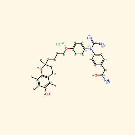 Cc1c(C)c2c(c(C)c1O)CCC(C)(CCCCOc1ccc(N(C(=N)N)c3ccc(CC(N)=O)cc3)cc1)O2.Cl